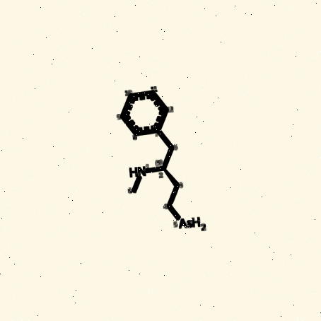 CN[C@H](CC[AsH2])Cc1ccccc1